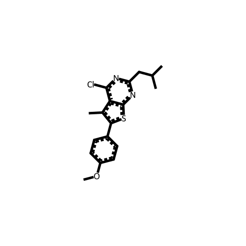 COc1ccc(-c2sc3nc(CC(C)C)nc(Cl)c3c2C)cc1